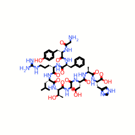 CC(C)C[C@H](NC(=O)[C@H](CCCNC(=N)N)NC(=O)[C@H](Cc1ccccc1)NC(=O)[C@H](Cc1ccc(O)cc1)NC(=O)CN)C(=O)N[C@H](C(=O)N[C@@H](C)C(=O)N[C@@H](CC(=O)O)C(=O)N[C@@H](C)C(=O)N[C@@H](Cc1c[nH]cn1)C(=O)O)[C@@H](C)O